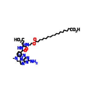 CN(Cc1cnc2nc(N)nc(N)c2n1)c1ccc(C(=O)N[C@@H](CCC(=O)O)C(=O)NCCOC(=O)CCCCCCCCCCCCCCCCC(=O)O)cc1